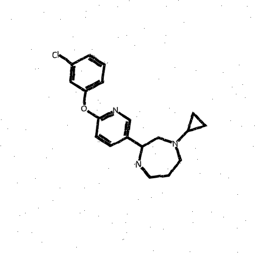 Clc1cccc(Oc2ccc(C3CN(C4CC4)CCC[N]3)cn2)c1